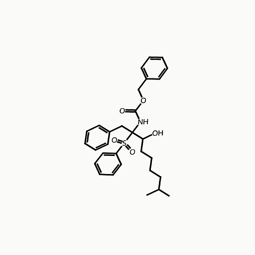 CC(C)CCCCC(O)C(Cc1ccccc1)(NC(=O)OCc1ccccc1)S(=O)(=O)c1ccccc1